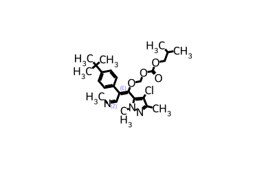 C/N=C\C(=C(\OCOC(=O)OCC(C)C)c1c(Cl)c(C)nn1C)c1ccc(C(C)(C)C)cc1